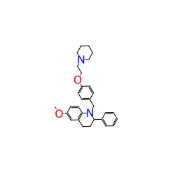 COc1ccc2c(c1)CCC(c1ccccc1)N2Cc1ccc(OCCN2CCCCC2)cc1